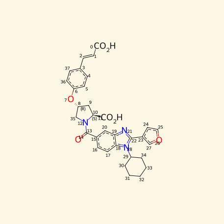 O=C(O)C=Cc1ccc(O[C@@H]2C[C@@H](C(=O)O)N(C(=O)c3ccc4c(c3)nc(-c3ccoc3)n4C3CCCCC3)C2)cc1